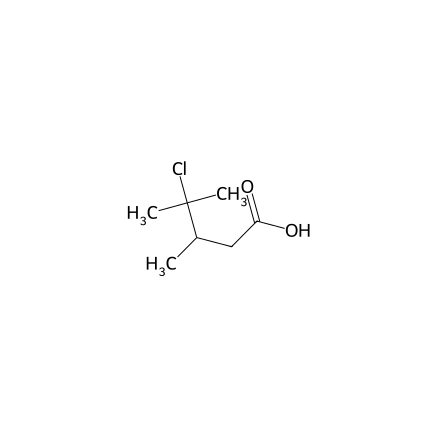 CC(CC(=O)O)C(C)(C)Cl